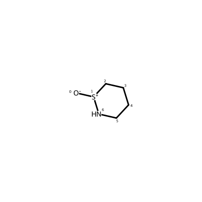 [O-][S+]1CCCCN1